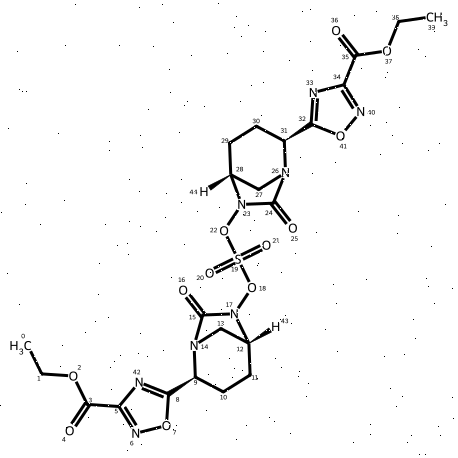 CCOC(=O)c1noc([C@@H]2CC[C@@H]3CN2C(=O)N3OS(=O)(=O)ON2C(=O)N3C[C@H]2CC[C@H]3c2nc(C(=O)OCC)no2)n1